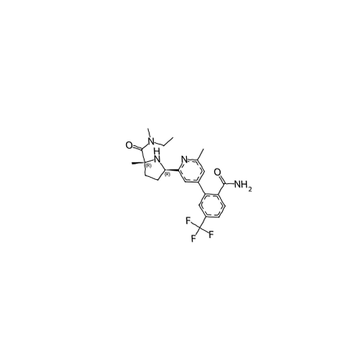 CCN(C)C(=O)[C@@]1(C)CC[C@H](c2cc(-c3cc(C(F)(F)F)ccc3C(N)=O)cc(C)n2)N1